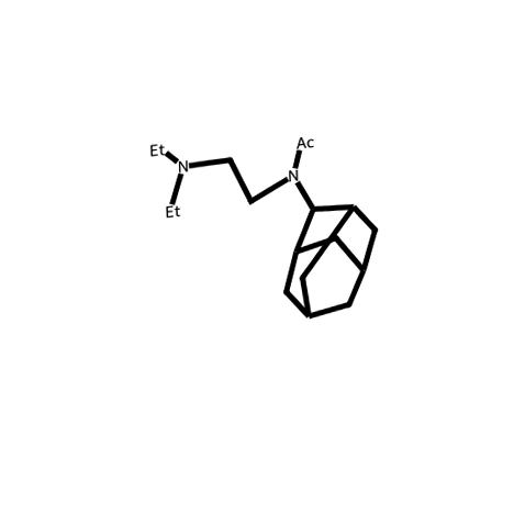 CCN(CC)CCN(C(C)=O)C1C2CC3CC(C2)CC1C3